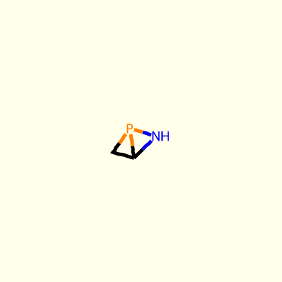 C1C2NP12